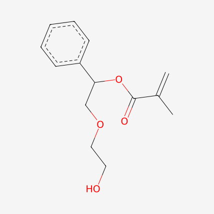 C=C(C)C(=O)OC(COCCO)c1ccccc1